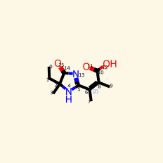 CCC1(C)NC(/C(C)=C(/C)C(=O)O)=NC1=O